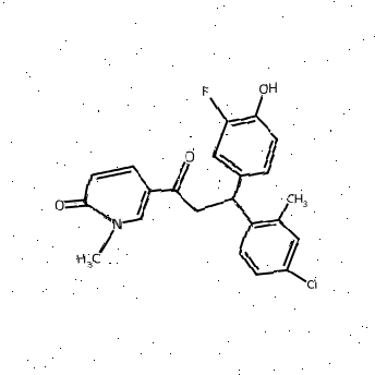 Cc1cc(Cl)ccc1C(CC(=O)c1ccc(=O)n(C)c1)c1ccc(O)c(F)c1